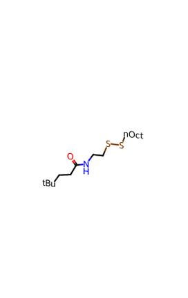 CCCCCCCCSSCCNC(=O)CCC(C)(C)C